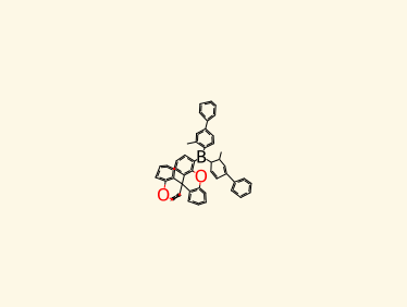 Cc1cc(-c2ccccc2)ccc1B(c1cccc2c1Oc1ccccc1C21c2ccccc2Oc2ccccc21)C1C=CC(c2ccccc2)=CC1C